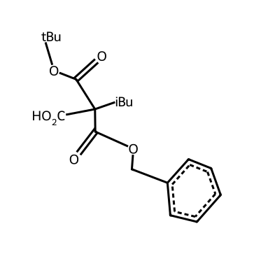 CCC(C)C(C(=O)O)(C(=O)OCc1ccccc1)C(=O)OC(C)(C)C